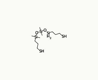 C[Si](C)(CCCS)O[Si](C)(C)O[SiH2]CCCS